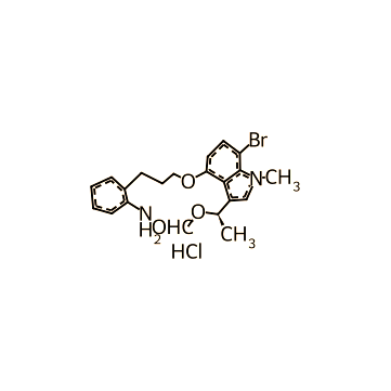 C[C@@H](OC=O)c1cn(C)c2c(Br)ccc(OCCCc3ccccc3N)c12.Cl